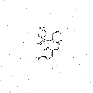 O=[SH](O)(CC(F)(F)F)O[C@H]1CCCC[C@@H]1Oc1ccc(Cl)cc1